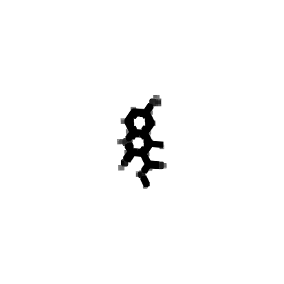 COC(=O)c1c(C)c2cc(O)ccc2oc1=O